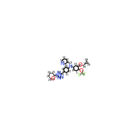 FC(F)Oc1ccc(N(Cc2cccnc2)c2ccc(-c3nnn(C4CCCCO4)n3)cc2)cc1OCC1CC1